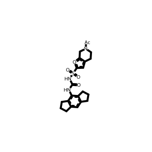 CC(=O)N1CCc2cc(S(=O)(=O)NC(=O)Nc3c4c(cc5c3CCC5)CCC4)oc2C1